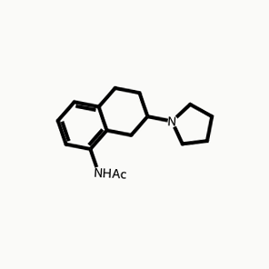 CC(=O)Nc1cccc2c1CC(N1CCCC1)CC2